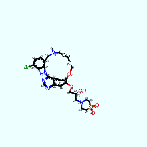 CN1CCCCCOc2cc3c(ncnc3cc2OC[C@@H](O)CN2CCS(=O)(=O)CC2)Nc2cc(Br)ccc2C1